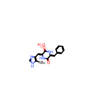 CC(C)(C)c1[nH]cnc1C=c1[nH]c(=O)c(=Cc2ccccc2)[nH]c1=O.O